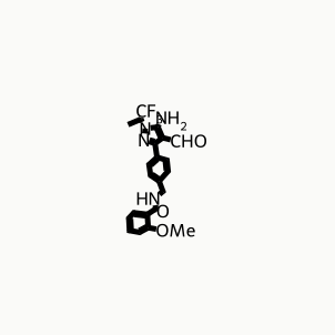 COc1ccccc1C(=O)NCc1ccc(-c2nn(C(C)C(F)(F)F)c(N)c2C=O)cc1